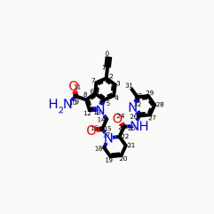 C#Cc1ccc2c(c1)c(C(N)=O)cn2CC(=O)N1CC=CCC1C(=O)Nc1cccc(C)n1